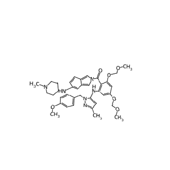 COCOc1cc(Nc2cc(C)nn2Cc2ccc(OC)cc2)c(C(=O)n2cc3ccc(NC4CCN(C)CC4)cc3c2)c(OCOC)c1